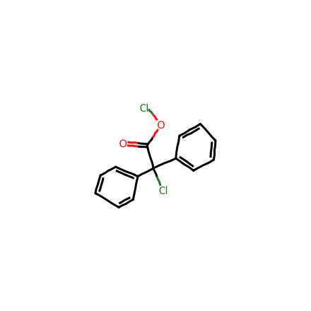 O=C(OCl)C(Cl)(c1ccccc1)c1ccccc1